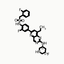 CCc1cc(-c2ccc(NS(=O)(=O)Cc3ccccc3F)c(F)c2)nc2cnc(N[C@@H]3CNC[C@@H](F)C3)nc12